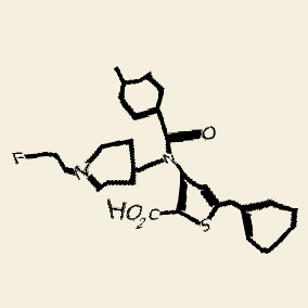 CC1CCC(C(=O)N(c2cc(C3=CCCCC3)sc2C(=O)O)C2CCN(CCF)CC2)CC1